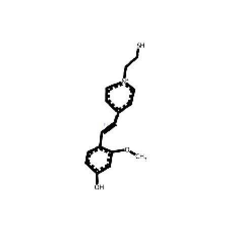 COc1cc(O)ccc1/C=C/c1cc[n+](CCS)cc1